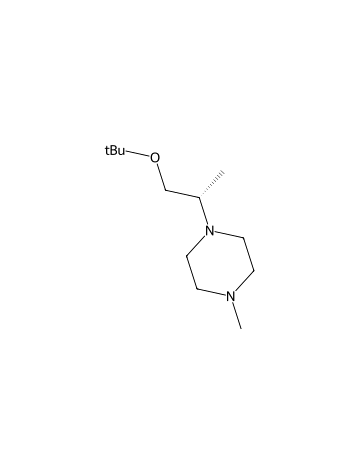 C[C@@H](COC(C)(C)C)N1CCN(C)CC1